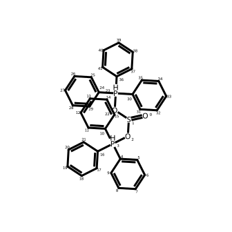 O=S(O[PH](c1ccccc1)(c1ccccc1)c1ccccc1)O[PH](c1ccccc1)(c1ccccc1)c1ccccc1